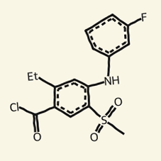 CCc1cc(Nc2cccc(F)c2)c(S(C)(=O)=O)cc1C(=O)Cl